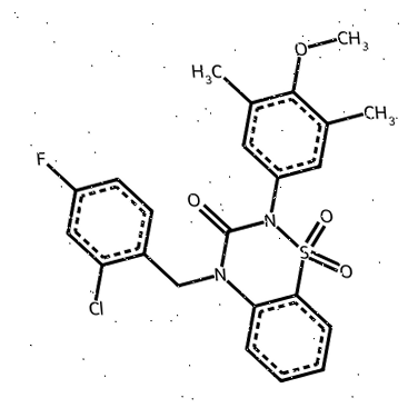 COc1c(C)cc(N2C(=O)N(Cc3ccc(F)cc3Cl)c3ccccc3S2(=O)=O)cc1C